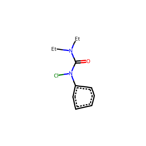 CCN(CC)C(=O)N(Cl)c1ccccc1